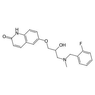 CN(Cc1ccccc1F)CC(O)COc1ccc2[nH]c(=O)ccc2c1